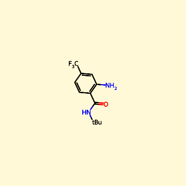 CC(C)(C)NC(=O)c1ccc(C(F)(F)F)cc1N